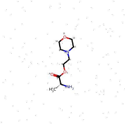 C[C@@H](N)C(=O)OCCN1CCOCC1